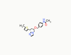 CC(=O)Nc1ccc(COC(CCc2ccc(C)s2)Cn2ccnc2)cc1